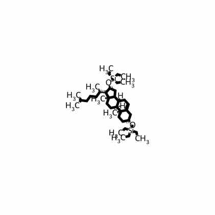 CC[Si](CC)(CC)O[C@H]1CC[C@@]2(C)C(=CC[C@H]3C4C[C@H](O[Si](CC)(CC)CC)[C@H]([C@H](C)CCCC(C)C)[C@@]4(C)CC[C@@H]32)C1